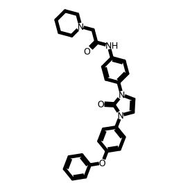 O=C(CN1CCCCC1)Nc1ccc(-n2ccn(-c3ccc(Oc4ccccc4)cc3)c2=O)cc1